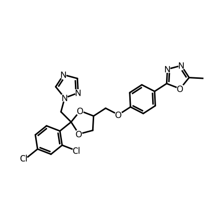 Cc1nnc(-c2ccc(OCC3COC(Cn4cncn4)(c4ccc(Cl)cc4Cl)O3)cc2)o1